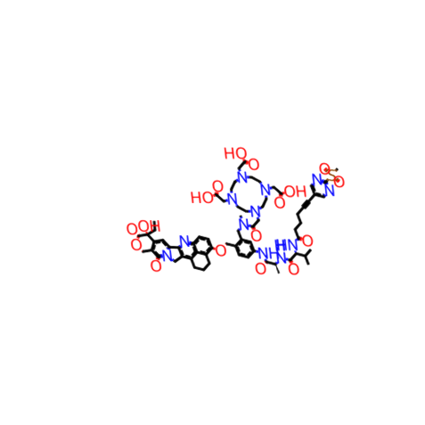 CC[C@@]1(O)C(=O)OCc2c1cc1n(c2=O)Cc2c-1nc1ccc(OCc3ccc(NC(=O)[C@H](C)NC(=O)[C@@H](NC(=O)CCCC#Cc4cnc(S(C)(=O)=O)nc4)C(C)C)cc3CN(C)C(=O)CN3CCN(CC(=O)O)CCN(CC(=O)O)CCN(CC(=O)O)CC3)c3c1c2CCC3